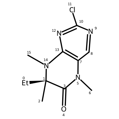 CC[C@]1(C)C(=O)N(C)c2cnc(Cl)nc2N1C